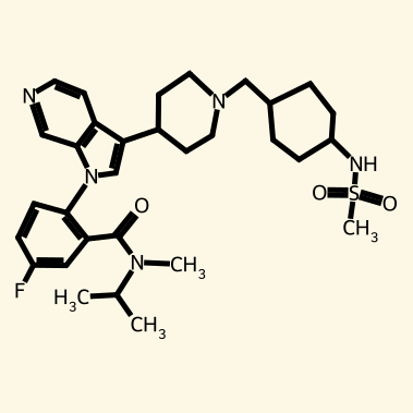 CC(C)N(C)C(=O)c1cc(F)ccc1-n1cc(C2CCN(CC3CCC(NS(C)(=O)=O)CC3)CC2)c2ccncc21